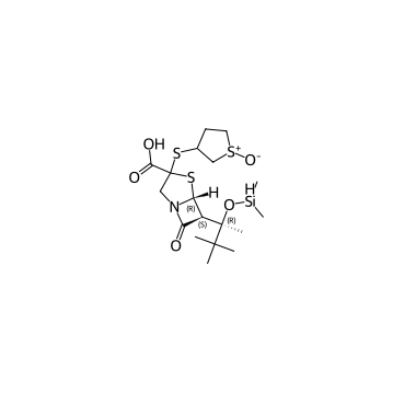 C[SiH](C)O[C@](C)([C@H]1C(=O)N2CC(SC3CC[S+]([O-])C3)(C(=O)O)S[C@H]12)C(C)(C)C